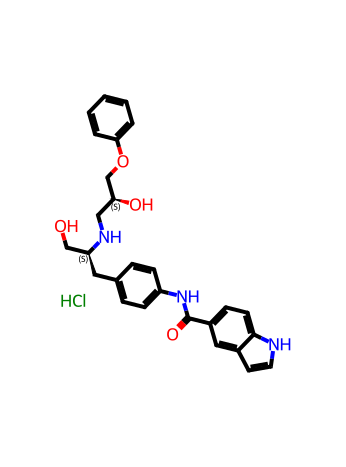 Cl.O=C(Nc1ccc(C[C@@H](CO)NC[C@H](O)COc2ccccc2)cc1)c1ccc2[nH]ccc2c1